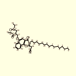 CCCCCCCCCCCCCCCCN(CCC#N)C(=O)c1cc(OCC(C[S+]([O-])CC)[S+]([O-])CC)c2ccccc2c1O